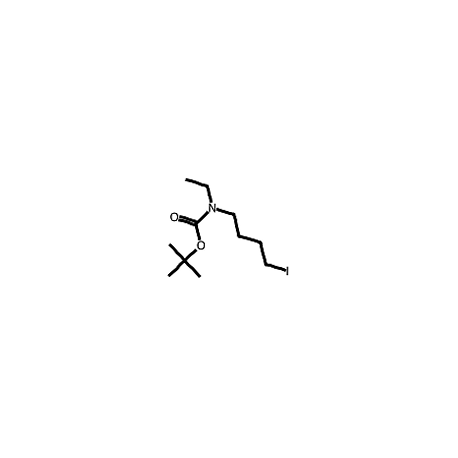 CCN(CCCCI)C(=O)OC(C)(C)C